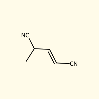 CC(C#N)C=CC#N